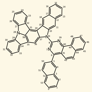 c1ccc2cc(-c3nc(-n4c5cc6ccccc6cc5c5c6c7ccccc7n7c8ccccc8c(cc54)c67)nc4c3ccc3ccccc34)ccc2c1